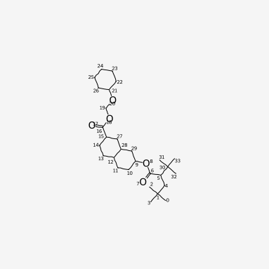 CC(C)(C)CC(C(=O)OC1CCC2CCC(C(=O)OCOC3CCCCC3)CC2C1)C(C)(C)C